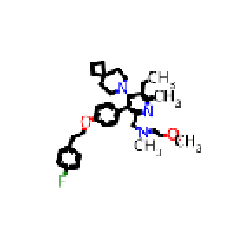 CCc1c(C)nc(CN(C)CCOC)c(-c2ccc(OCCc3ccc(F)cc3)cc2)c1N1CCC2(CCC2)CC1